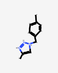 Cc1ccc(Cn2cc(C)nn2)cc1